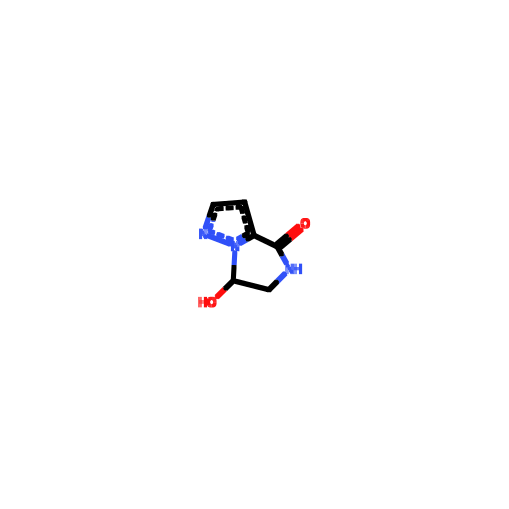 O=C1NCC(O)n2nccc21